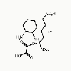 CCCCCCCCCCCCCCCC(=O)O.N[C@@H]1CCCC[C@H]1N.O=C(O)C(=O)O.[Pt]